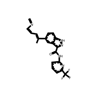 C=N/C=C\C=C(/C)c1ccc2[nH]nc(C(=O)Nc3cccc(C(F)(F)F)n3)c2c1